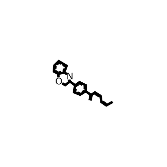 C=C(/C=C\C=C/C)c1ccc(C2=Nc3ccccc3OC2)cc1